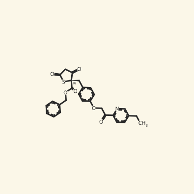 CCc1ccc(C(=O)COc2ccc(C[C@@]3(C(=O)OCc4ccccc4)SC(=O)CC3=O)cc2)nc1